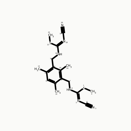 CSC(=NC#N)NCc1c(C)cc(C)c(CNC(=NC#N)SC)c1C